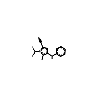 Cc1c(Nc2ccccc2)cc(C#N)n1C(F)F